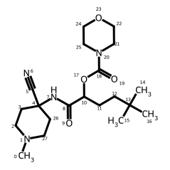 CN1CCC(C#N)(NC(=O)C(CCC(C)(C)C)OC(=O)N2CCOCC2)CC1